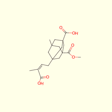 COC(=O)C12CC3(C)CC(CC=C(C)C(=O)O)(CC(C(=O)O)(C3)C1)C2